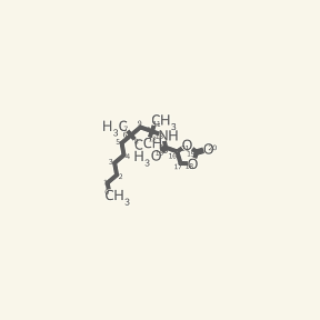 CCCCCCC(C)(C)CC(C)(C)NC(=O)C1COC(=O)O1